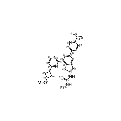 CCNC(=O)Nc1nc2cc(-c3cnc(C(C)O)nc3)cc(-c3nccc(C4CC(OC)C4)n3)c2s1